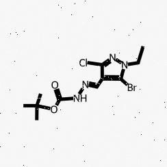 CCn1nc(Cl)c(/C=N/NC(=O)OC(C)(C)C)c1Br